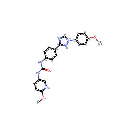 CCOc1ccc(NC(=O)Nc2ccc(-c3ncn(-c4ccc(OC(F)(F)F)cc4)n3)cc2)cn1